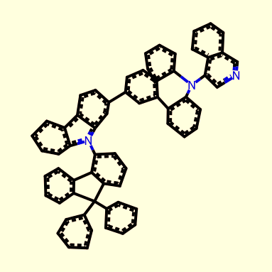 c1ccc(N(c2ccccc2-c2cccc(-c3ccc4c5ccccc5n(-c5cccc6c5-c5ccccc5C6(c5ccccc5)c5ccccc5)c4c3)c2)c2cncc3ccccc23)cc1